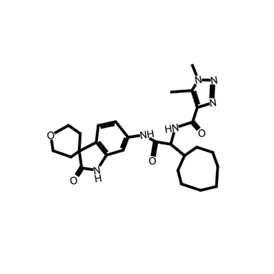 Cc1c(C(=O)NC(C(=O)Nc2ccc3c(c2)NC(=O)C32CCOCC2)C2CCCCCCC2)nnn1C